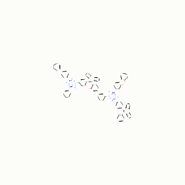 c1ccc(-c2nc(-c3ccc4c(c3)Oc3cc(-c5cccc(-c6nc(-c7ccc8c(c7)Oc7ccccc7C87c8ccccc8-c8ccccc87)nc(-c7ccc8c(c7)oc7ccccc78)n6)c5)ccc3C43c4ccccc4-c4ccccc43)nc(-c3ccc4c(c3)sc3ccccc34)n2)cc1